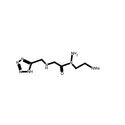 CNCCN(N)C(=O)CNCc1nnn[nH]1